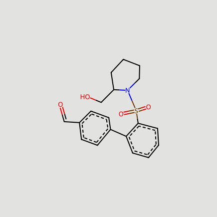 O=Cc1ccc(-c2ccccc2S(=O)(=O)N2CCCCC2CO)cc1